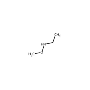 [CH2]CNOC